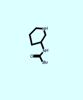 CCC(C)C(=O)NC1CCCNC1